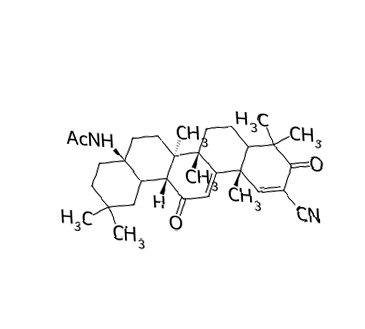 CC(=O)N[C@]12CCC(C)(C)CC1[C@H]1C(=O)C=C3[C@@]4(C)C=C(C#N)C(=O)C(C)(C)C4CC[C@@]3(C)[C@]1(C)CC2